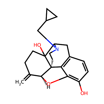 C=C1CCC2(O)C3Cc4ccc(O)c5c4[C@@]2(CCN3CC2CC2)[C@H]1O5